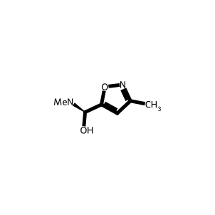 CN[C@H](O)c1cc(C)no1